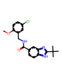 COc1ccc(Cl)cc1CNC(=O)c1ccc2[nH]c(C(C)(C)C)nc2c1